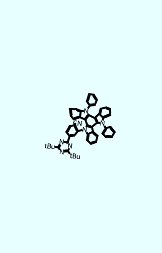 CC(C)(C)c1nc(-c2ccc(C#N)c(-n3c4ccccc4c4c5c(c6ccccc6n5-c5ccccc5)c5c(c6ccccc6n5-c5ccccc5)c43)c2)nc(C(C)(C)C)n1